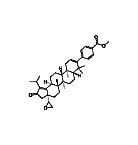 COC(=O)c1ccc(C2=CC[C@]3(C)[C@H]4CC[C@@H]5C6=C(C(C)C)C(=O)C[C@]6(C6CO6)CC[C@@]5(C)[C@]4(C)CC[C@H]3C2(C)C)cc1